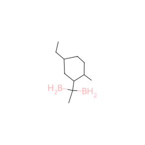 BC(B)(C)C1CC(CC)CCC1C